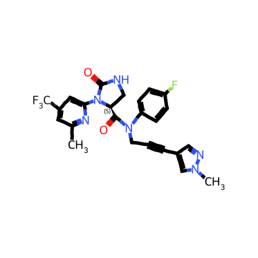 Cc1cc(C(F)(F)F)cc(N2C(=O)NC[C@H]2C(=O)N(CC#Cc2cnn(C)c2)c2ccc(F)cc2)n1